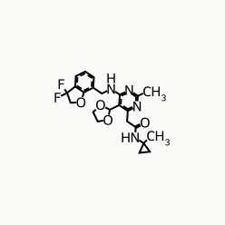 Cc1nc(CC(=O)NC2(C)CC2)c(C2OCCO2)c(NCc2cccc3c2OCC3(F)F)n1